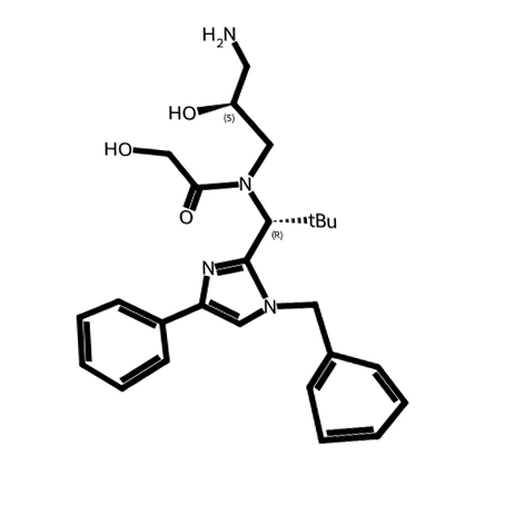 CC(C)(C)[C@H](c1nc(-c2ccccc2)cn1Cc1ccccc1)N(C[C@@H](O)CN)C(=O)CO